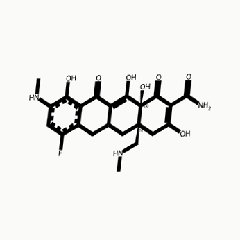 CNC[C@]12CC(O)=C(C(N)=O)C(=O)[C@@]1(O)C(O)=C1C(=O)c3c(O)c(NC)cc(F)c3CC1C2